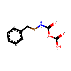 O=C(O)OC(=O)NSCc1ccccc1